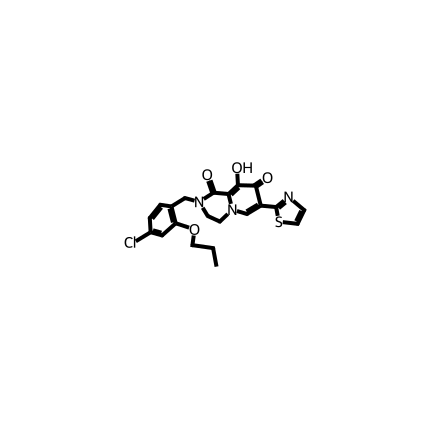 CCCOc1cc(Cl)ccc1CN1CCn2cc(-c3nccs3)c(=O)c(O)c2C1=O